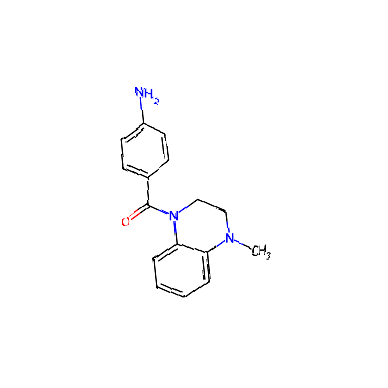 CN1CCN(C(=O)c2ccc(N)cc2)c2ccccc21